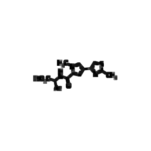 CCOC(=O)C(NC(=O)c1cc(-c2csc(C)n2)cn1C)C(C)=O